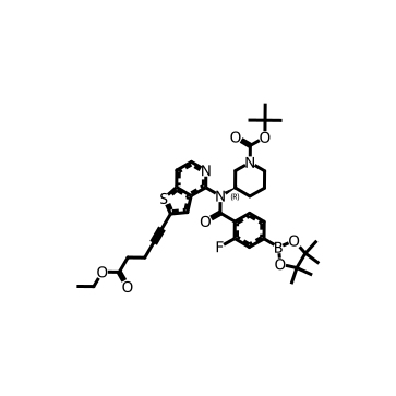 CCOC(=O)CCC#Cc1cc2c(N(C(=O)c3ccc(B4OC(C)(C)C(C)(C)O4)cc3F)[C@@H]3CCCN(C(=O)OC(C)(C)C)C3)nccc2s1